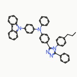 CCCc1ccc(-n2c(-c3ccccc3)nnc2-c2ccc(N(c3ccccc3)c3ccc(-n4c5ccccc5c5ccccc54)cc3)cc2)cc1